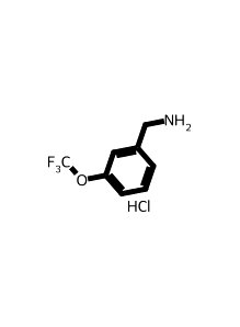 Cl.NCc1cccc(OC(F)(F)F)c1